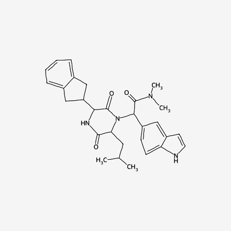 CC(C)CC1C(=O)NC(C2Cc3ccccc3C2)C(=O)N1C(C(=O)N(C)C)c1ccc2[nH]ccc2c1